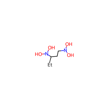 CCC(CCN(O)O)N(O)O